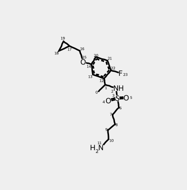 CC(NS(=O)(=O)CCCCCN)c1cc(OCC2CC2)ccc1F